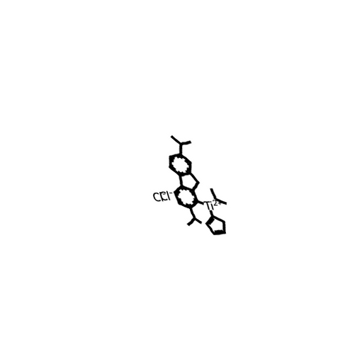 C[C](C)=[Ti+2]([C]1=CC=CC1)[c]1c(C(C)C)ccc2c1Cc1cc(C(C)C)ccc1-2.[Cl-].[Cl-]